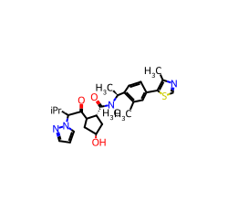 Cc1cc(-c2scnc2C)ccc1[C@H](C)N(C)C(=O)[C@@H]1C[C@@H](O)CC1C(=O)C(C(C)C)n1cccn1